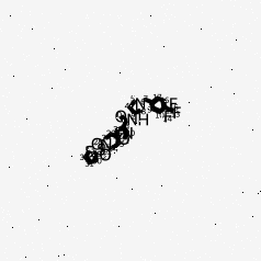 O=C(NC1CCN(Cc2ccc(C(F)(F)F)cc2)C1)C1=NOC2(CCN(S(=O)(=O)c3cccs3)CC2)C1